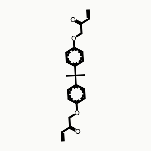 C=CC(=O)COc1ccc(C(C)(C)c2ccc(OCC(=O)C=C)cc2)cc1